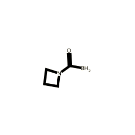 BC(=O)N1CCC1